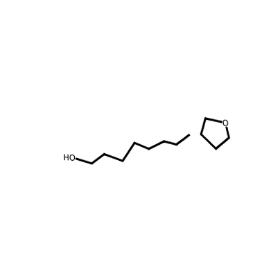 C1CCOC1.CCCCCCCCO